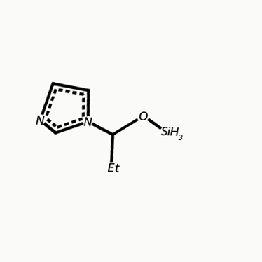 CCC(O[SiH3])n1ccnc1